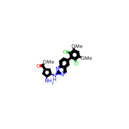 COC(=O)C1C[C@H](N)[C@H](Nc2ncc3cc(-c4c(Cl)c(OC)cc(OC)c4Cl)ccc3n2)C1